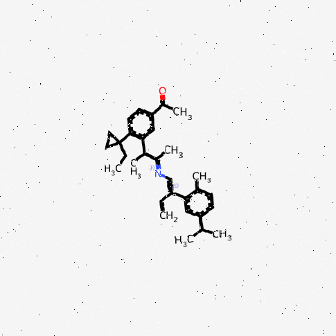 C=C/C(=C\N=C(/C)C(C)c1cc(C(C)=O)ccc1C1(CC)CC1)c1cc(C(C)C)ccc1C